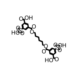 O=C(O)c1cc(C(=O)OCCCCCCOC(=O)c2cc(C(=O)O)cc(S(=O)(=O)O)c2)cc(S(=O)(=O)O)c1